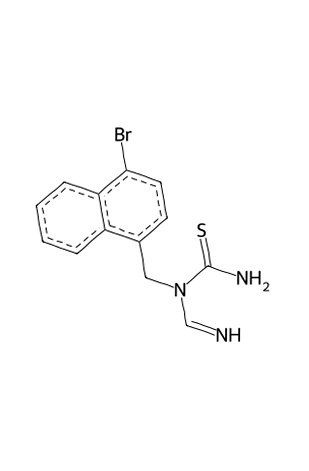 N=CN(Cc1ccc(Br)c2ccccc12)C(N)=S